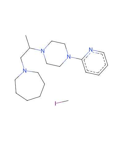 CC(CN1CCCCCC1)N1CCN(c2ccccn2)CC1.CI